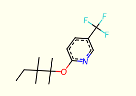 CCC(C)(C)C(C)(C)Oc1ccc(C(F)(F)F)cn1